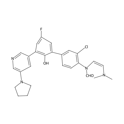 CN(C)/C=C\N(C=O)c1ccc(-c2cc(F)cc(-c3cncc(N4CCCC4)c3)c2O)cc1Cl